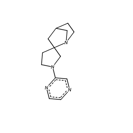 c1cnc(N2CCC3(CC4CCN3C4)C2)cn1